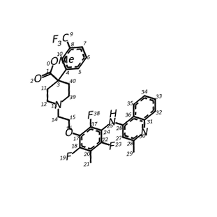 COC(=O)C1(c2cccc(C(F)(F)F)c2)CCN(CCOc2c(F)c(C)c(F)c(Nc3cc(C)nc4ccccc34)c2F)CC1